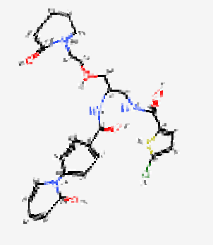 O=C(NC(CNC(=O)c1ccc(Cl)s1)COCCN1CCCCC1=O)c1ccc(-n2ccccc2=O)cc1